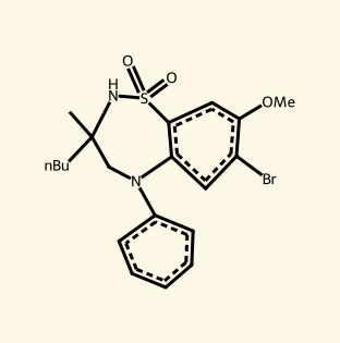 CCCCC1(C)CN(c2ccccc2)c2cc(Br)c(OC)cc2S(=O)(=O)N1